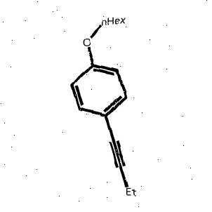 CCC#Cc1ccc(OCCCCCC)cc1